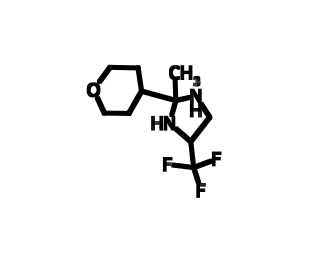 CC1(C2CCOCC2)NCC(C(F)(F)F)N1